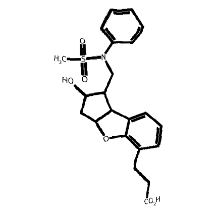 CS(=O)(=O)N(CC1C(O)CC2Oc3c(CCC(=O)O)cccc3C21)c1ccccc1